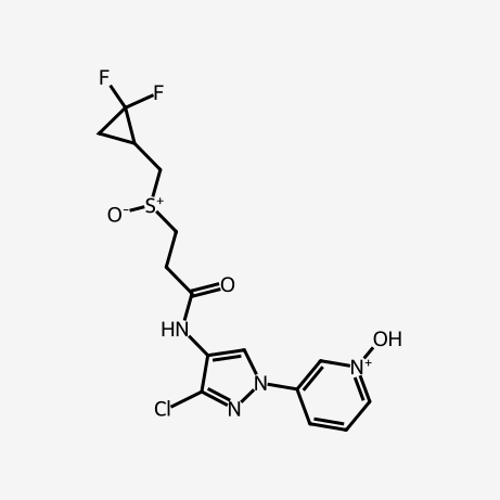 O=C(CC[S+]([O-])CC1CC1(F)F)Nc1cn(-c2ccc[n+](O)c2)nc1Cl